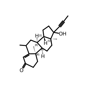 CC#CC1(O)CC[C@H]2[C@@H]3CC(C)C4=CC(=O)CC[C@]4(C)[C@@H]3CC[C@@]21C